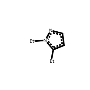 CCc1c[c]nn1CC